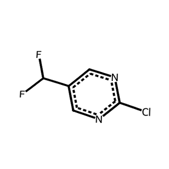 FC(F)c1cnc(Cl)nc1